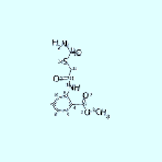 COC(=O)c1ccccc1NC(=O)CSC(N)=O